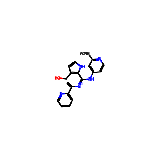 C=C(/N=C(/Nc1ccnc(NC(C)=O)c1)c1[nH]ccc1CO)c1ccccn1